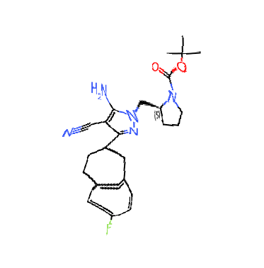 CC(C)(C)OC(=O)N1CCC[C@H]1Cn1nc(C2CCc3cc(F)ccc3C2)c(C#N)c1N